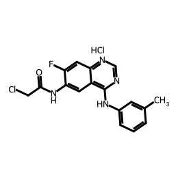 Cc1cccc(Nc2ncnc3cc(F)c(NC(=O)CCl)cc23)c1.Cl